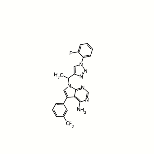 CC(c1cn(-c2ccccc2F)nn1)n1cc(-c2cccc(C(F)(F)F)c2)c2c(N)ncnc21